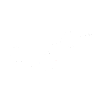 C=C(c1ccc(OC)cc1)[C@H]1CN(Cc2ccccc2)CCO1